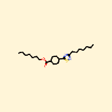 CCCCCCCOC(=O)C1CCC(c2nc(CCCCCCC)ns2)CC1